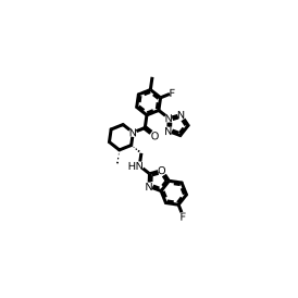 Cc1ccc(C(=O)N2CCC[C@@H](C)[C@H]2CNc2nc3cc(F)ccc3o2)c(-n2nccn2)c1F